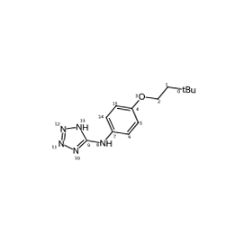 CC(C)(C)CCOc1ccc(Nc2nnn[nH]2)cc1